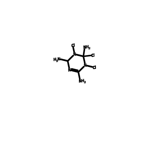 NC1=NC(N)N(Cl)C(N)(Cl)N1Cl